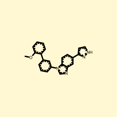 COc1ccccc1-c1cccc(-n2cnc3cc(-c4cc[nH]n4)ccc32)c1